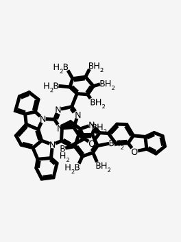 Bc1c(B)c(B)c(-c2nc(-c3c(B)c(B)c(B)c(B)c3B)nc(-n3c4ccccc4c4ccc5c6ccccc6n(-c6ccc7nc(-c8ccc9c(c8)oc8ccccc89)oc7c6)c5c43)n2)c(B)c1B